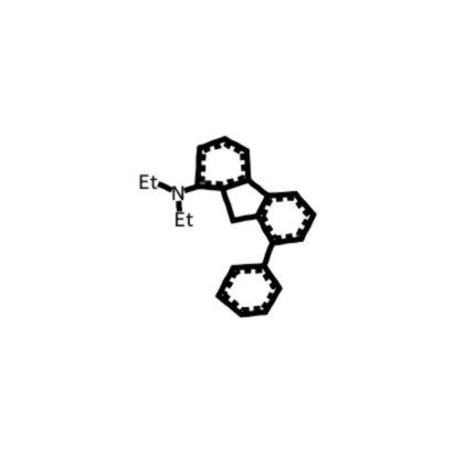 CCN(CC)c1cccc2c1Cc1c(-c3ccccc3)cccc1-2